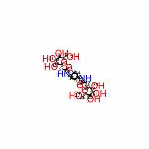 O=C(C[C@H]1O[C@H](CO)[C@@H](O)[C@H](O)[C@H]1O)Nc1ccc(NC(=O)C[C@H]2O[C@H](CO)[C@@H](O)[C@H](O)[C@H]2O)cc1